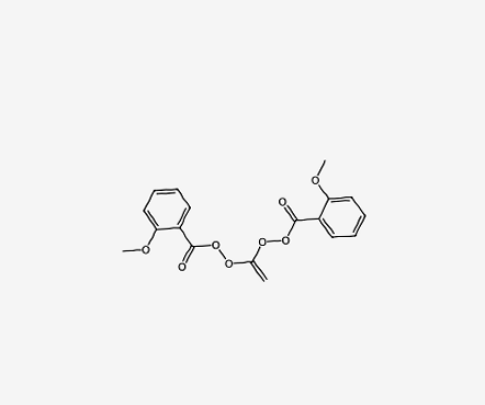 C=C(OOC(=O)c1ccccc1OC)OOC(=O)c1ccccc1OC